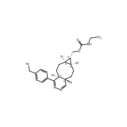 CCNC(=O)OC[C@H]1[C@@H]2CC[C@@H]3C(c4ccc(C[18F])cc4)=NN=C[C@H]3CC[C@@H]21